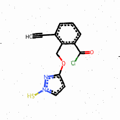 C#Cc1cccc(C(=O)Cl)c1COc1ccn(S)n1